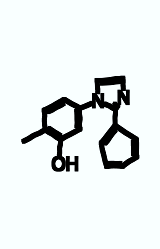 Cc1ccc(-n2ccnc2-c2ccccc2)cc1O